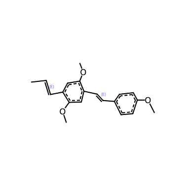 C/C=C/c1cc(OC)c(/C=C/c2ccc(OC)cc2)cc1OC